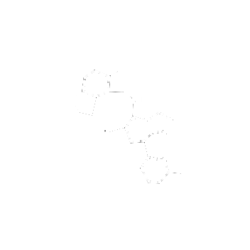 Cc1cccc(-c2cc3c(n4cnnc24)NCc2c(F)ccc4c2C(CO4)CO3)n1